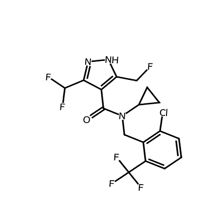 O=C(c1c(C(F)F)n[nH]c1CF)N(Cc1c(Cl)cccc1C(F)(F)F)C1CC1